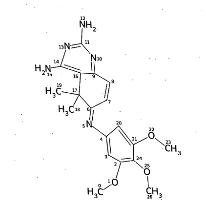 COc1cc(N=C2C=Cc3nc(N)nc(N)c3C2(C)C)cc(OC)c1OC